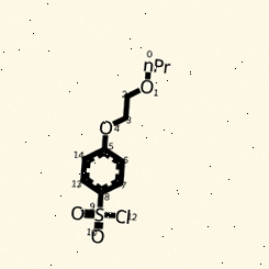 CCCOCCOc1ccc(S(=O)(=O)Cl)cc1